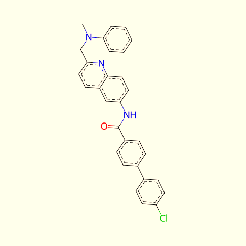 CN(Cc1ccc2cc(NC(=O)c3ccc(-c4ccc(Cl)cc4)cc3)ccc2n1)c1ccccc1